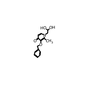 Cc1c(OCc2ccccc2)c(=O)ccn1CC(O)O